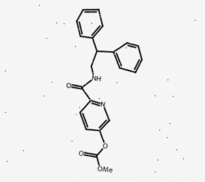 COC(=O)Oc1ccc(C(=O)NCC(c2ccccc2)c2ccccc2)nc1